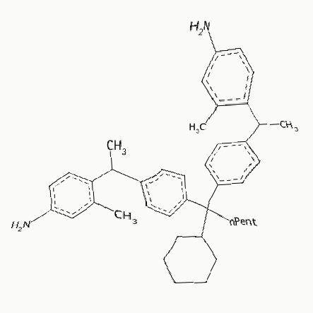 CCCCCC(c1ccc(C(C)c2ccc(N)cc2C)cc1)(c1ccc(C(C)c2ccc(N)cc2C)cc1)C1CCCCC1